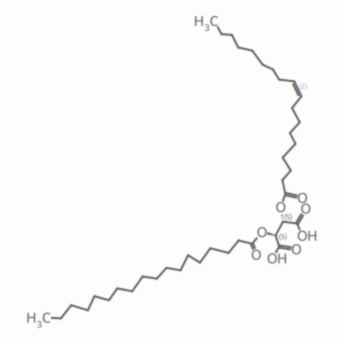 CCCCCCCC/C=C\CCCCCCCC(=O)O[C@H](C(=O)O)[C@H](OC(=O)CCCCCCCCCCCCCCCCC)C(=O)O